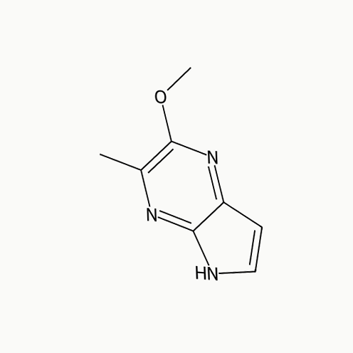 COc1nc2cc[nH]c2nc1C